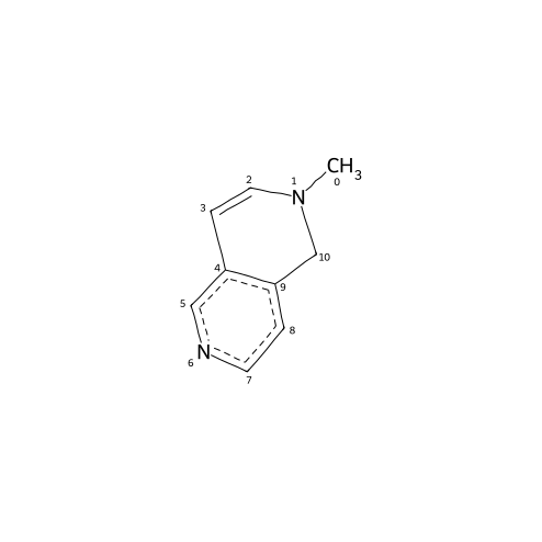 CN1C=Cc2cnccc2C1